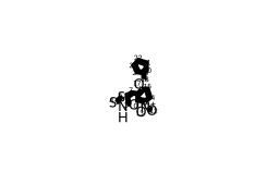 O=C1NC(=S)SC1=Cc1cc([N+](=O)[O-])ccc1OCc1ccccc1